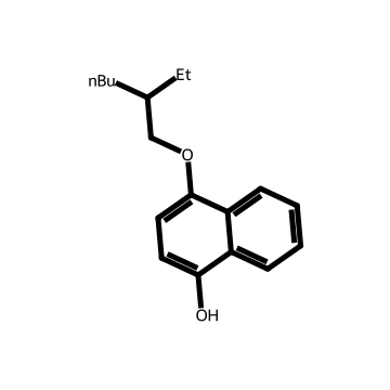 CCCCC(CC)COc1ccc(O)c2ccccc12